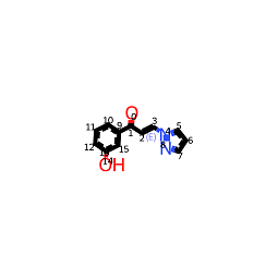 O=C(/C=C/n1cccn1)c1cccc(O)c1